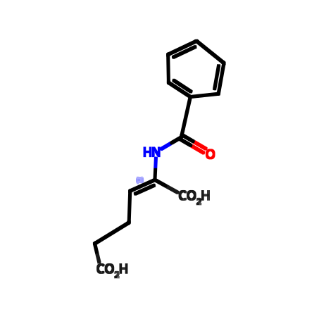 O=C(O)CC/C=C(/NC(=O)c1ccccc1)C(=O)O